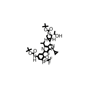 CC(C)c1nc(-c2cc(NC(=O)OC(C)(C)C)cc(F)c2OC(F)(F)F)c(F)c2c1c([C@@H]1[C@H]3CN(C(=O)OC(C)(C)C)[C@H](C(C)O)[C@H]31)nn2C1CC1